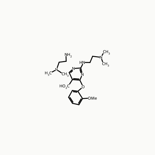 CN(C)CCN.COc1ccccc1Oc1nc(NCCN(C)C)ncc1C(=O)O